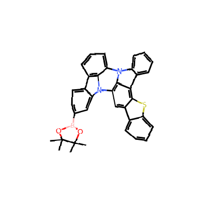 CC1(C)OB(c2ccc3c4cccc5c4n(c3c2)c2cc3c4ccccc4sc3c3c4ccccc4n5c32)OC1(C)C